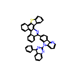 c1ccc(-c2nc(-n3c4cc(-c5nc6c(c7ccccc57)c5ccccc5c5sc7ccccc7c65)ccc4c4ncccc43)nc3ccccc23)cc1